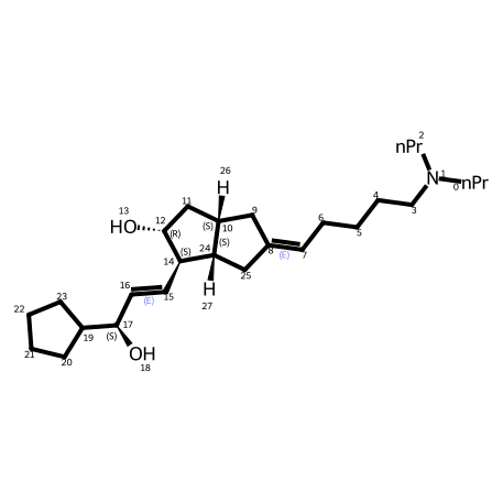 CCCN(CCC)CCCC/C=C1\C[C@H]2C[C@@H](O)[C@H](/C=C/[C@@H](O)C3CCCC3)[C@H]2C1